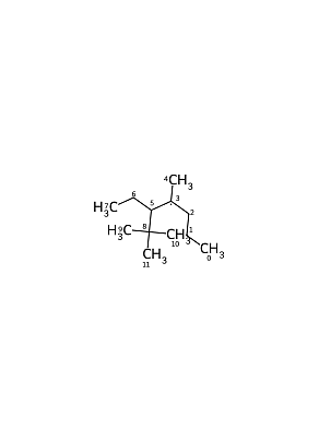 CCC[C](C)C(CC)C(C)(C)C